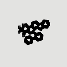 O=C(C1=C(O)c2ccc3c(sc4ccccc43)c2N(c2ccccc2-c2ccccc2)C1)C(F)(F)F